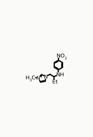 CCC(Cn1cc[n+](C)c1)Nc1ccc([N+](=O)[O-])cc1